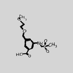 COCCOCc1cc(NCS(C)(=O)=O)cc(C(=O)O)c1